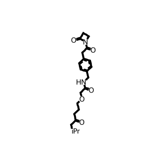 CC(C)CC(=O)CCCOCC(=O)NCc1ccc(CC(=O)N2CCC2=O)cc1